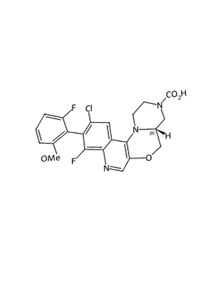 COc1cccc(F)c1-c1c(Cl)cc2c3c(cnc2c1F)OC[C@H]1CN(C(=O)O)CCN31